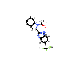 CC(=O)N1c2ccccc2CC1c1nc2cc(C(F)(F)F)ccc2[nH]1